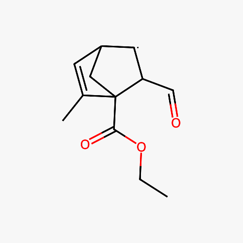 CCOC(=O)C12CC([CH]C1C=O)C=C2C